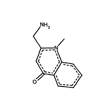 Cn1c(CN)cc(=O)c2ccccc21